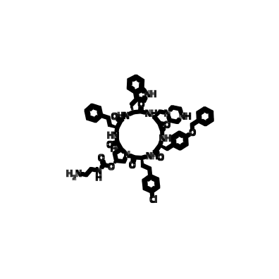 NCCNC(=O)O[C@@H]1C[C@H]2C(=O)N[C@@H](CCc3ccccc3)C(=O)N[C@H](Cc3c[nH]c4ccccc34)C(=O)N[C@@H](CN3CCNCC3)C3OC3N[C@@H](Cc3ccc(OCc4ccccc4)cc3)C(=O)N[C@@H](CCc3ccc(Cl)cc3)C(=O)N2C1